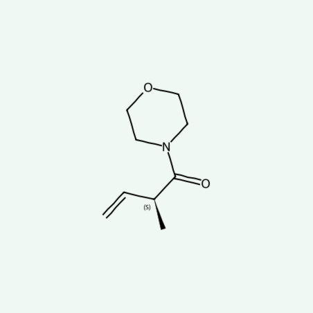 C=C[C@H](C)C(=O)N1CCOCC1